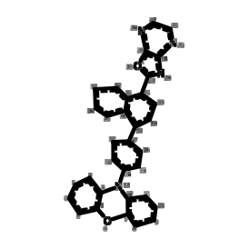 c1ccc2c(c1)Oc1ccccc1N2c1ccc(-c2ccc(-c3nc4nccnc4o3)c3ccccc23)cc1